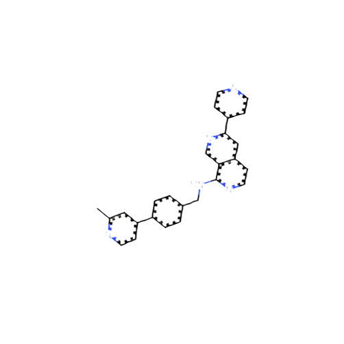 Cc1cc(-c2ccc(CNc3nccc4cc(-c5ccncc5)ncc34)cc2)ccn1